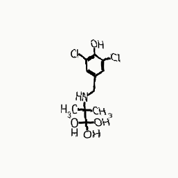 CC(C)(NCc1cc(Cl)c(O)c(Cl)c1)C(O)(O)O